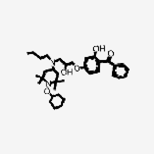 CCCCN(CC(O)COc1ccc(C(=O)c2ccccc2)c(O)c1)C1CC(C)(C)N(OC2CCCCC2)C(C)(C)C1